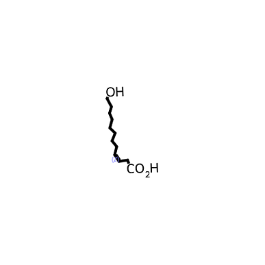 O=C(O)C/C=C\CCCCCCCCO